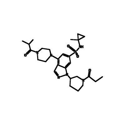 CCC(=O)N1CCCC(n2ncc3c(N4CCN(C(=O)C(C)C)CC4)cc(S(=O)(=O)NC4(C)CC4)cc32)C1